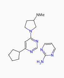 CNC1CCN(c2cc(C3CCCC3)ncn2)C1.Nc1ncccn1